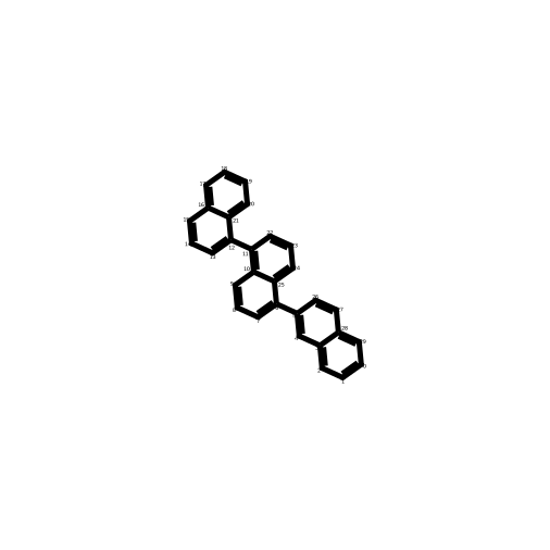 [c]1ccc2cc(-c3cccc4c(-c5cc[c]c6ccccc56)cccc34)ccc2c1